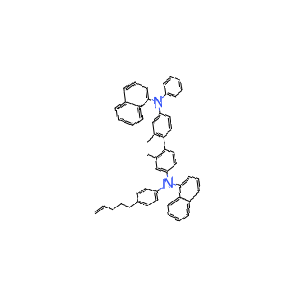 C=CCCCc1ccc(N(c2ccc(-c3ccc(N(c4ccccc4)c4cccc5ccccc45)cc3C)c(C)c2)c2cccc3ccccc23)cc1